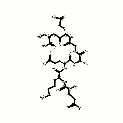 C[C@H](NC(=O)[C@H](CCC(N)=O)NC(=O)[C@H](CCCCN)NC(=O)[C@@H](N)CCC(=O)O)C(=O)NCC(=O)N[C@@H](CCC(=O)O)C(=O)N[C@@H](CO)C(=O)O